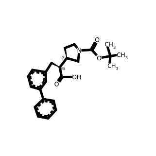 CC(C)(C)OC(=O)N1CC[C@H]([C@H](Cc2cccc(-c3ccccc3)c2)C(=O)O)C1